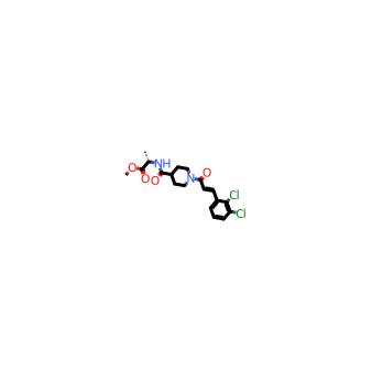 COC(=O)[C@H](C)NC(=O)C1CCN(C(=O)/C=C/c2cccc(Cl)c2Cl)CC1